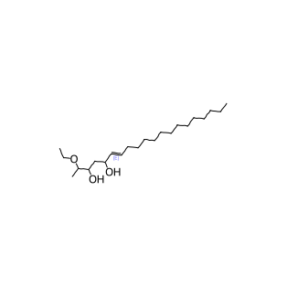 CCCCCCCCCCCCC/C=C/C(O)CC(O)C(C)OCC